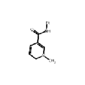 [CH2]CNC(=O)C1=CN(C)CC=C1